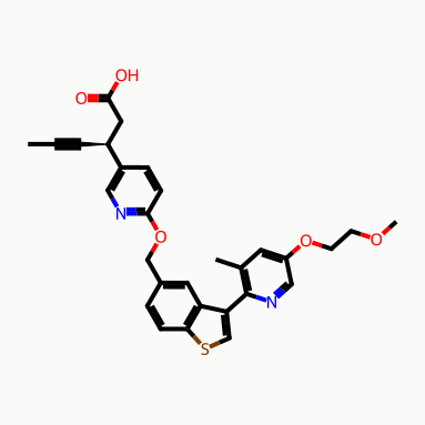 CC#C[C@@H](CC(=O)O)c1ccc(OCc2ccc3scc(-c4ncc(OCCOC)cc4C)c3c2)nc1